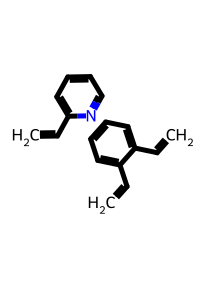 C=Cc1ccccc1C=C.C=Cc1ccccn1